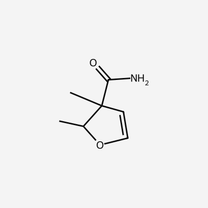 CC1OC=CC1(C)C(N)=O